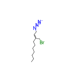 CCCCCCC/C(=C/CN=[N+]=[N-])CBr